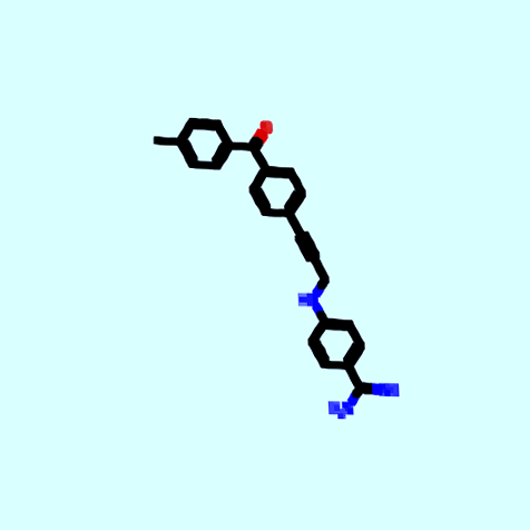 Cc1ccc(C(=O)c2ccc(C#CCNc3ccc(C(=N)N)cc3)cc2)cc1